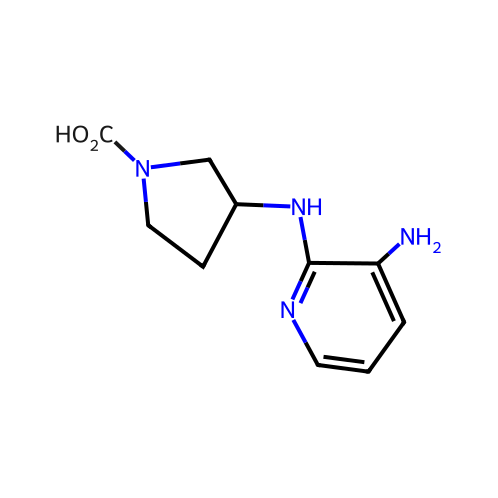 Nc1cccnc1NC1CCN(C(=O)O)C1